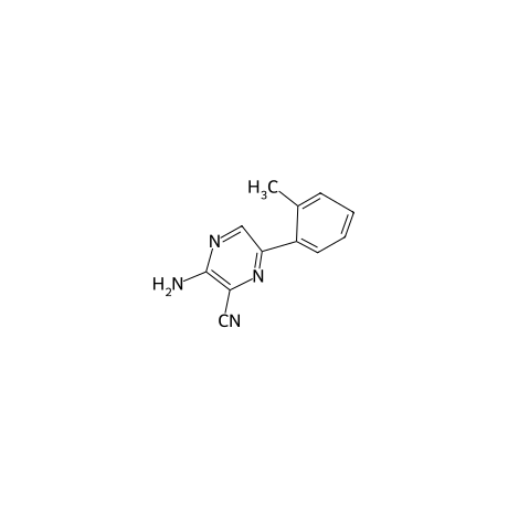 Cc1ccccc1-c1cnc(N)c(C#N)n1